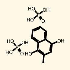 Cc1cc(O)c2ccccc2c1O.O=P(O)(O)O.O=P(O)(O)O